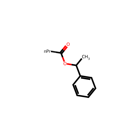 CCCC(=O)OC(C)c1ccccc1